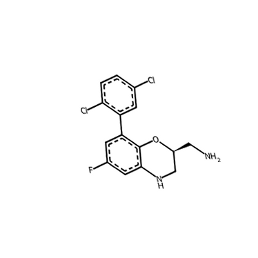 NC[C@H]1CNc2cc(F)cc(-c3cc(Cl)ccc3Cl)c2O1